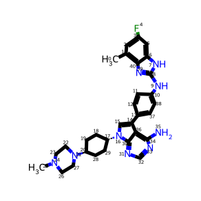 Cc1cc(F)cc2[nH]c(Nc3ccc(-c4cn([C@H]5CC[C@H](N6CCN(C)CC6)CC5)c5ncnc(N)c45)cc3)nc12